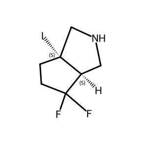 FC1(F)CC[C@@]2(I)CNC[C@@H]12